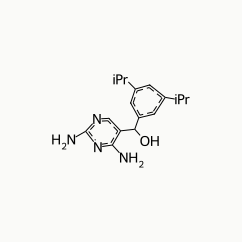 CC(C)c1cc(C(C)C)cc(C(O)c2cnc(N)nc2N)c1